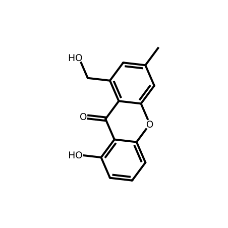 Cc1cc(CO)c2c(=O)c3c(O)cccc3oc2c1